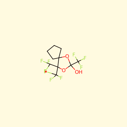 OC1(C(F)(F)F)OC2(CCCC2)C(C(F)(F)F)(C(F)(F)F)O1